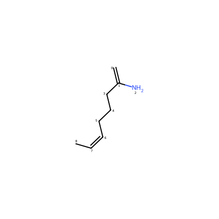 C=C(N)CCC/C=C\C